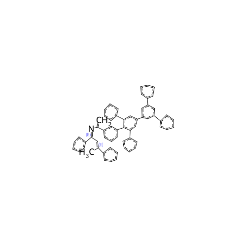 C=C(/N=C(\C=C(/C)c1ccccc1)c1ccccc1)c1cccc(-c2c(-c3ccccc3)cc(-c3cc(-c4ccccc4)cc(-c4ccccc4)c3)cc2-c2ccccc2)c1